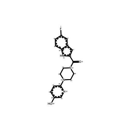 O=C(c1cc2cc(F)ccc2[nH]1)N1CCN(c2ccc(O)cn2)CC1